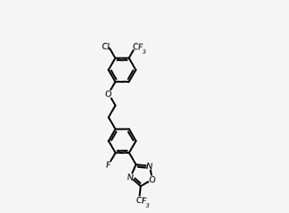 Fc1cc(CCOc2ccc(C(F)(F)F)c(Cl)c2)ccc1-c1noc(C(F)(F)F)n1